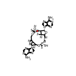 Nc1ncnc2c1ncn2[C@@H]1O[C@@H]2CO[P@](=S)(S)O[C@@H]3[C@H](F)[C@@H](CO[P@@](O)(=S)O[C@@H]1[C@@H]2F)O[C@H]3n1cnc2c(N)ncnc21